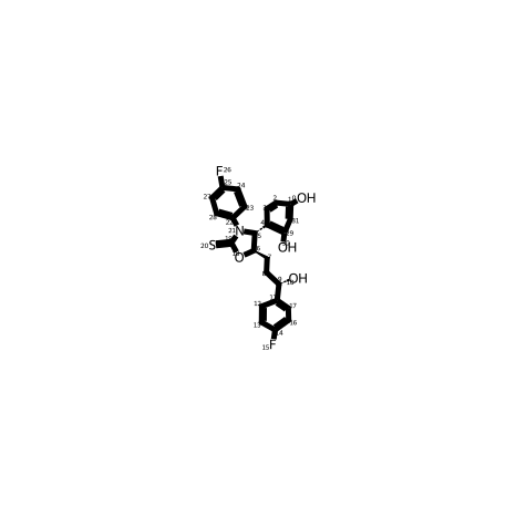 Oc1ccc([C@@H]2[C@@H](CC[C@H](O)c3ccc(F)cc3)OC(=S)N2c2ccc(F)cc2)c(O)c1